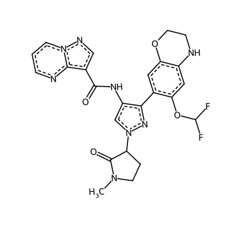 CN1CCC(n2cc(NC(=O)c3cnn4cccnc34)c(-c3cc4c(cc3OC(F)F)NCCO4)n2)C1=O